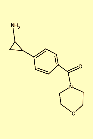 NC1CC1c1ccc(C(=O)N2CCOCC2)cc1